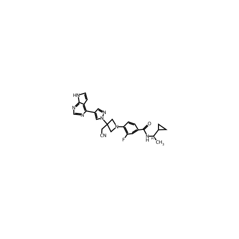 C[C@@H](NC(=O)c1ccc(N2CC(CC#N)(n3cc(-c4ncnc5[nH]ccc45)cn3)C2)c(F)c1)C1CC1